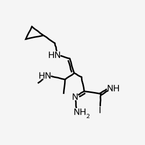 CNC(C)/C(=C\NCC1CC1)C/C(=N/N)C(=N)I